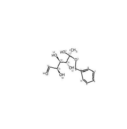 C[C@](O)(OCc1ccccc1)[C@H](O)[C@H](O)[C@@H](O)C=O